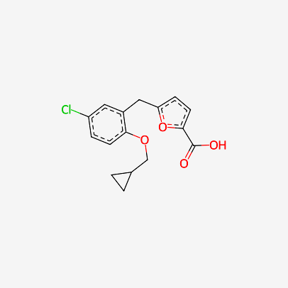 O=C(O)c1ccc(Cc2cc(Cl)ccc2OCC2CC2)o1